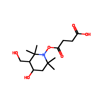 CC1(C)CC(O)C(CO)C(C)(C)N1OC(=O)CCC(=O)O